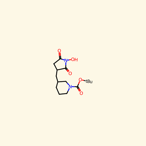 CC(C)(C)OC(=O)N1CCCC(CC2CC(=O)N(O)C2=O)C1